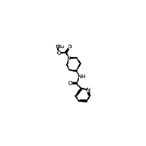 CC(C)(C)OC(=O)N1CCC(NC(=O)c2ccccn2)CC1